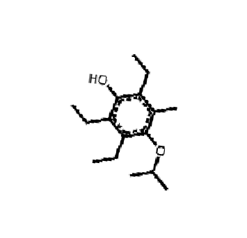 CCc1c(C)c(OC(C)C)c(CC)c(CC)c1O